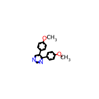 COc1ccc(-c2cncnc2-c2ccc(OC)cc2)cc1